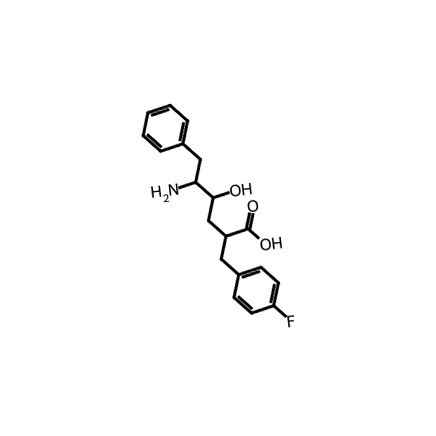 NC(Cc1ccccc1)C(O)CC(Cc1ccc(F)cc1)C(=O)O